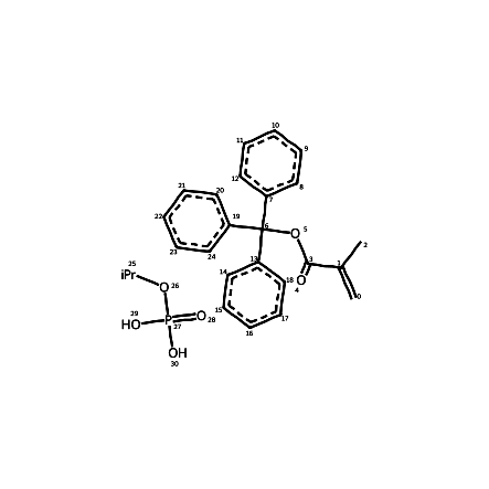 C=C(C)C(=O)OC(c1ccccc1)(c1ccccc1)c1ccccc1.CC(C)OP(=O)(O)O